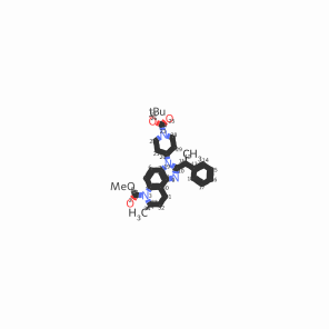 COC(=O)N1c2ccc3c(nc([C@H](C)c4ccccc4)n3C3CCN(C(=O)OC(C)(C)C)CC3)c2CC[C@@H]1C